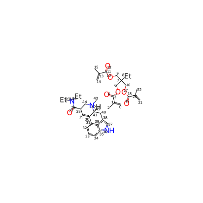 C=C(C)C(=O)OCC(CC)(COC(=O)C(=C)C)COC(=O)C(=C)C.CCN(CC)C(=O)[C@@H]1C=C2c3cccc4[nH]cc(c34)C[C@H]2N(C)C1